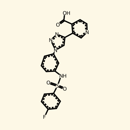 O=C(O)c1ccncc1-c1cn(-c2cccc(NS(=O)(=O)c3ccc(F)cc3)c2)nn1